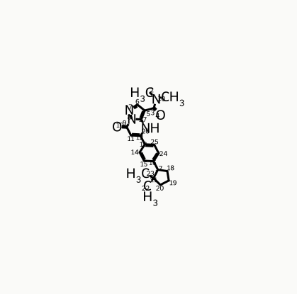 CN(C)C(=O)c1cnn2c(=O)cc(-c3ccc(C4CCCC4(C)C)cc3)[nH]c12